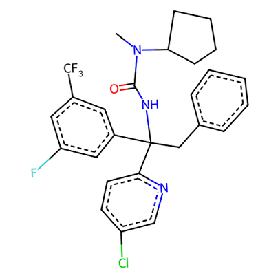 CN(C(=O)NC(Cc1ccccc1)(c1cc(F)cc(C(F)(F)F)c1)c1ccc(Cl)cn1)C1CCCC1